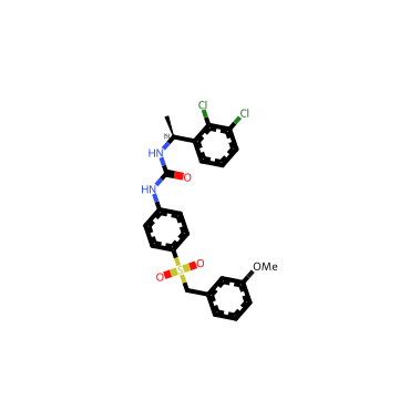 COc1cccc(CS(=O)(=O)c2ccc(NC(=O)N[C@@H](C)c3cccc(Cl)c3Cl)cc2)c1